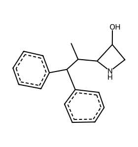 CC(C(c1ccccc1)c1ccccc1)C1NCC1O